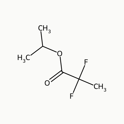 CC(C)OC(=O)C(C)(F)F